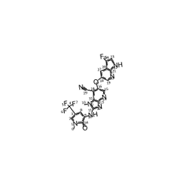 Cn1cc(C(F)(F)F)cc(Nc2nc3ncc(Oc4cnc5[nH]cc(F)c5c4)c(C#N)c3n2C)c1=O